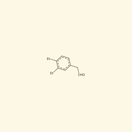 CCc1ccc(CC=O)cc1CC